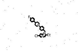 CCc1cn2cc(Cl)cc2n1Cc1ccc(N2CCC(c3ccc(F)cc3)CC2)cc1